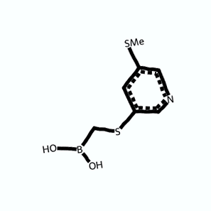 CSc1cncc(SCB(O)O)c1